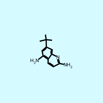 CC(C)(C)c1cc(N)c2ccc(N)nc2c1